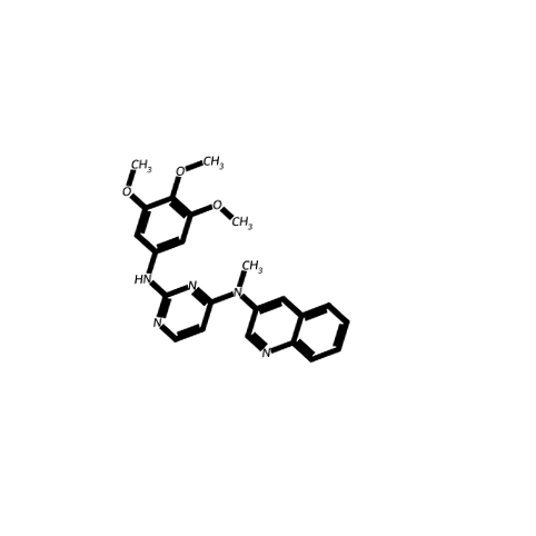 COc1cc(Nc2nccc(N(C)c3cnc4ccccc4c3)n2)cc(OC)c1OC